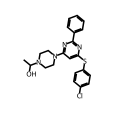 CC(O)N1CCN(c2cc(Sc3ccc(Cl)cc3)nc(-c3ccccc3)n2)CC1